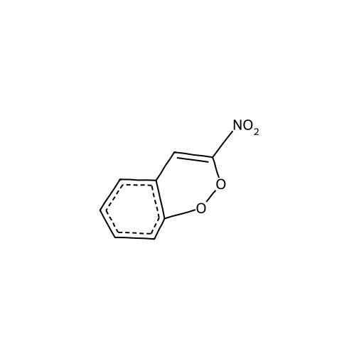 O=[N+]([O-])C1=Cc2ccccc2OO1